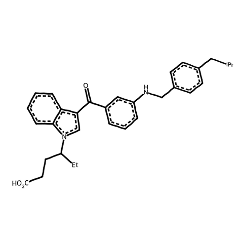 CCC(CCC(=O)O)n1cc(C(=O)c2cccc(NCc3ccc(CC(C)C)cc3)c2)c2ccccc21